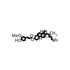 COc1cc(C=CC(=O)O[C@H]2CC[C@@]3(C)C(=CC[C@H]4[C@@H]5CC[C@H]([C@H](C)CCCC(C)C)[C@@]5(C)CC[C@@H]43)C2)ccc1O